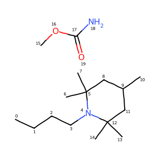 CCCCN1C(C)(C)CC(C)CC1(C)C.COC(N)=O